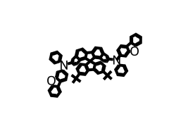 CC(C)(C)c1ccc2c(c1)-c1cc(C(C)(C)C)ccc1C21c2c(ccc3cc(N(c4ccccc4)c4ccc5c(c4)oc4ccccc45)ccc23)-c2ccc3cc(N(c4ccccc4)c4ccc5c(c4)oc4ccccc45)ccc3c21